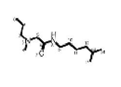 CCCN(C)CC(=O)NCCCCC(C)C